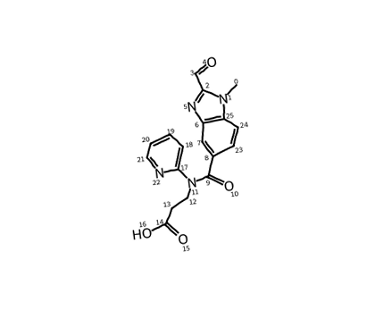 Cn1c(C=O)nc2cc(C(=O)N(CCC(=O)O)c3ccccn3)ccc21